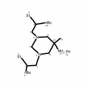 CCCCC(CC)CN1CN(CC(CC)CCCC)CC(C)(N)C1.F